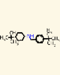 CC(C)(C)c1ccc(CN[C@H]2CC[C@H](C(C)(C)C)CC2)cc1